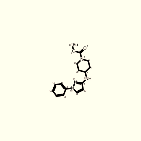 CC(C)(C)OC(=O)N1CCC(Nc2ccn(-c3ccccc3)n2)CC1